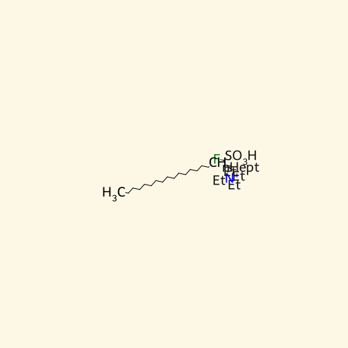 CCCCCCCC(F)S(=O)(=O)O.CCCCCCCCCCCCCCCCC.CC[N+](CC)(CC)CC